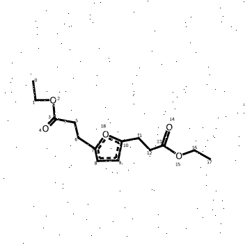 CCOC(=O)CCc1ccc(CCC(=O)OCC)o1